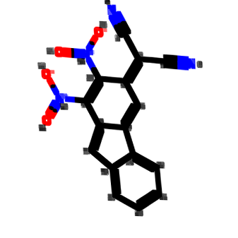 N#CC(C#N)=c1cc2c(c([N+](=O)[O-])c1[N+](=O)[O-])=Cc1ccccc1-2